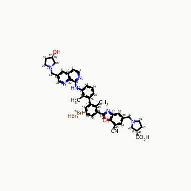 Br.Br.Cc1c(Nc2nccc3cc(CN4CC[C@@H](O)C4)cnc23)cccc1-c1cccc(-c2nc3cc(CN4CC[C@@H](C(=O)O)C4)cc(C#N)c3o2)c1C